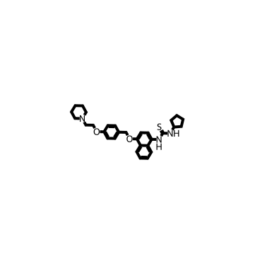 S=C(Nc1ccc(OCc2ccc(OCCN3CCCCC3)cc2)c2ccccc12)NC1CCCC1